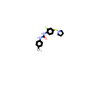 O=C(Nc1ccc(C(F)(F)F)cc1)Nc1ccc(SN2CCCC2)cc1F